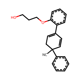 N#CC1(c2ccccc2)C=CC(c2ccccc2OCCCO)=CC1